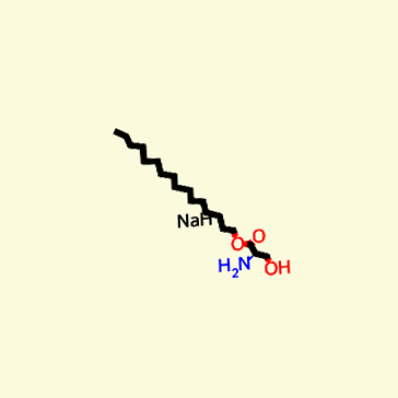 CCCCCCCCCCCCCCCCOC(=O)[C@@H](N)CO.[NaH]